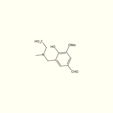 COc1cc(C=O)cc(CN(C)CC(=O)O)c1O